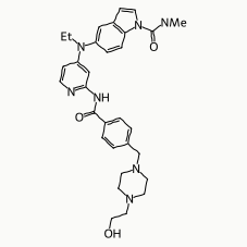 CCN(c1ccnc(NC(=O)c2ccc(CN3CCN(CCO)CC3)cc2)c1)c1ccc2c(ccn2C(=O)NC)c1